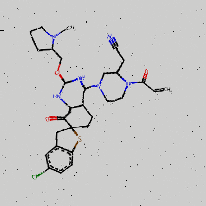 C=CC(=O)N1CCN(C2NC(OCC3CCCN3C)NC3C(=O)[C@@]4(CCC32)Cc2cc(Cl)ccc2S4)CC1CC#N